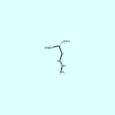 BBBC[C@@H](CCCCCC)CCCCCCC